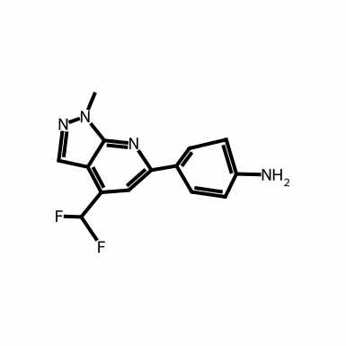 Cn1ncc2c(C(F)F)cc(-c3ccc(N)cc3)nc21